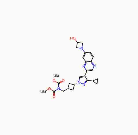 CC(C)(C)OC(=O)N(C[C@H]1C[C@H](n2cc(-c3cnc4ccc(N5CC(O)C5)cc4n3)c(C3CC3)n2)C1)C(=O)OC(C)(C)C